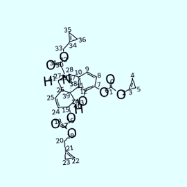 O=C(OC1=CC1)Oc1ccc2c3c1O[C@H]1C(OC(=O)OCC4=CC4)C=CC4[C@@H](C2)N(C(=O)OCC2=CC2)CC[C@@]341